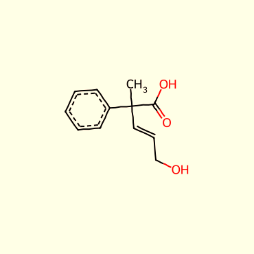 CC(/C=C/CO)(C(=O)O)c1ccccc1